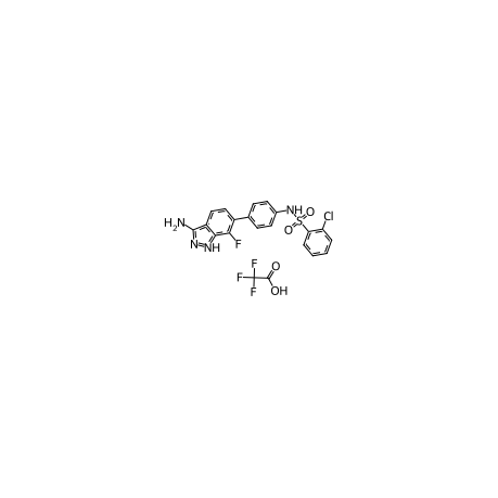 Nc1n[nH]c2c(F)c(-c3ccc(NS(=O)(=O)c4ccccc4Cl)cc3)ccc12.O=C(O)C(F)(F)F